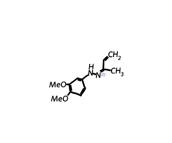 C=C/C(C)=N\Nc1ccc(OC)c(OC)c1